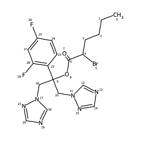 CCCCC(Br)C(=O)OC(Cn1cncn1)(Cn1cncn1)c1ccc(F)cc1F